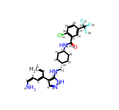 C=C/C(=C\C=C/N)c1cn[nH]c1NC[C@H]1CC[C@H](NC(=O)c2cc(C(F)(F)F)ccc2Cl)CC1